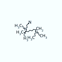 C=C(CCCCC(=C(C)C)N(CCC)CCC#N)N(CCC)CCC